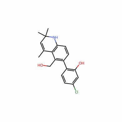 CC1=CC(C)(C)Nc2ccc(-c3ccc(Cl)cc3O)c(CO)c21